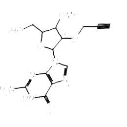 C#CCOC1C(OC)C(CO)OC1n1cnc2c(=O)[nH]c(N)nc21